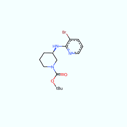 CC(C)(C)OC(=O)N1CCC[C@@H](Nc2ncccc2Br)C1